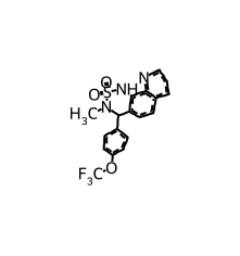 CN1C(c2ccc(OC(F)(F)F)cc2)c2ccc3cccnc3c2NS1(=O)=O